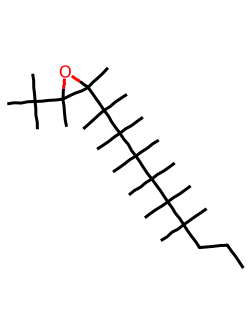 CCCC(C)(C)C(C)(C)C(C)(C)C(C)(C)C(C)(C)C(C)(C)C1(C)OC1(C)C(C)(C)C